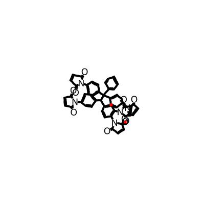 O=C1C=CC(=O)N1c1ccc(C(c2ccc(N3C(=O)C=CC3=O)c(N3C(=O)C=CC3=O)c2)C(c2ccccc2)(c2ccc(N3C(=O)C=CC3=O)cc2)c2ccc(N3C(=O)C=CC3=O)cc2)cc1